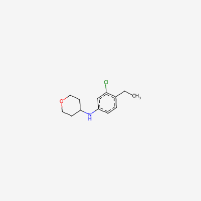 CCc1ccc(NC2CCOCC2)cc1Cl